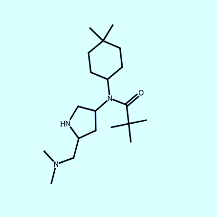 CN(C)CC1CC(N(C(=O)C(C)(C)C)C2CCC(C)(C)CC2)CN1